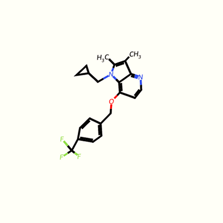 Cc1c(C)n(CC2CC2)c2c(OCc3ccc(C(F)(F)F)cc3)ccnc12